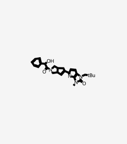 Cn1c(=O)n(CC(C)(C)C)c2ccc(C3=CC4CN(C(=O)C(O)c5ccccc5)CC4C3)nc21